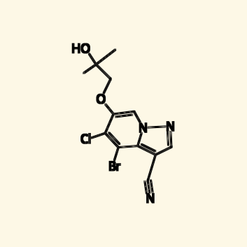 CC(C)(O)COc1cn2ncc(C#N)c2c(Br)c1Cl